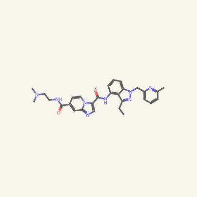 CCc1nn(Cc2cccc(C)n2)c2cccc(NC(=O)c3cnc4cc(C(=O)NCCN(C)C)ccn34)c12